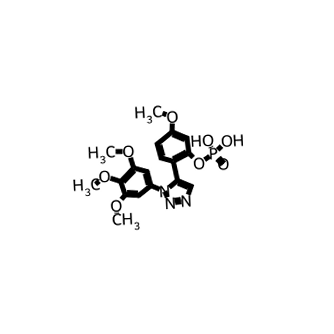 COc1ccc(-c2cnnn2-c2cc(OC)c(OC)c(OC)c2)c(OP(=O)(O)O)c1